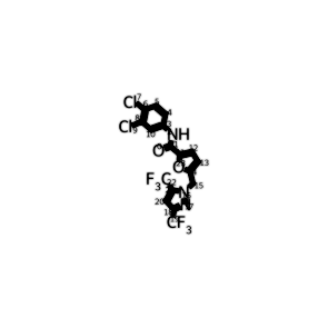 O=C(Nc1ccc(Cl)c(Cl)c1)c1ccc(Cn2nc(C(F)(F)F)cc2C(F)(F)F)o1